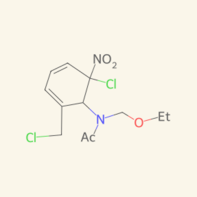 CCOCN(C(C)=O)C1C(CCl)=CC=CC1(Cl)[N+](=O)[O-]